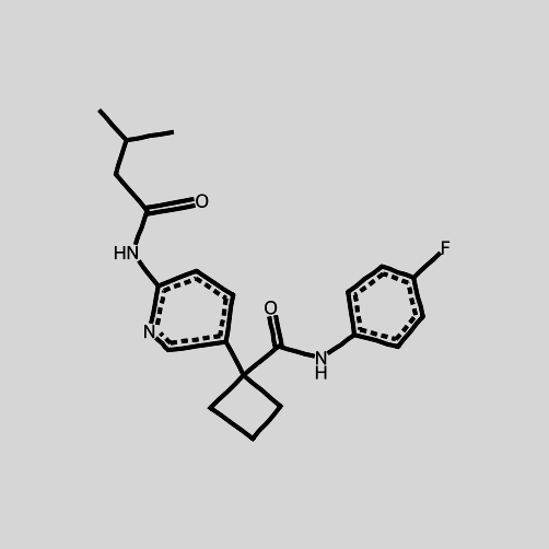 CC(C)CC(=O)Nc1ccc(C2(C(=O)Nc3ccc(F)cc3)CCC2)cn1